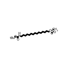 CC(C)(C)OC(=O)NCCCCCCCCCCCCCCCOS(C)(=O)=O